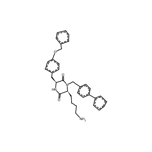 NCCCC[C@H]1C(=O)N[C@@H](Cc2ccc(OCc3ccccc3)cc2)C(=O)N1Cc1ccc(-c2ccccc2)cc1